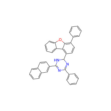 c1ccc(C2=NC(c3ccc(-c4ccccc4)c4oc5ccccc5c34)NC(c3ccc4ccccc4c3)=N2)cc1